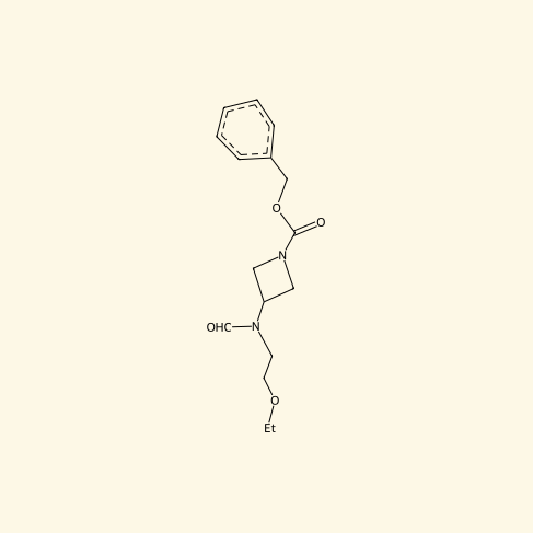 CCOCCN(C=O)C1CN(C(=O)OCc2ccccc2)C1